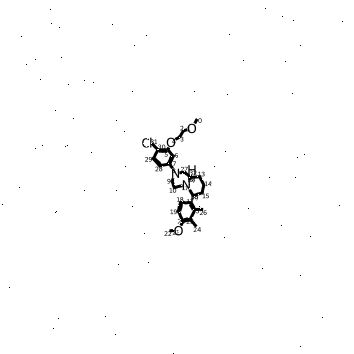 COCCOc1cc(N2CCN3[C@@H](CCC[C@@H]3c3ccc(OC)c(C)c3C)C2)ccc1Cl